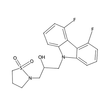 O=S1(=O)CCCN1CC(O)Cn1c2cccc(F)c2c2c(F)cccc21